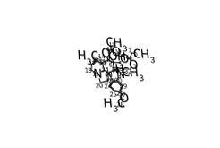 CCC(=O)OCC1(O)[C@H](OC(C)=O)[C@]2(CC)C=CCN3CC[C@@]4(c5ccc(OC)cc5N(C)[C@@H]14)C32